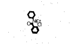 CCN(C(=O)c1ccccc1Cl)C1CCCCC1